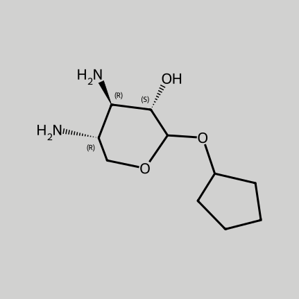 N[C@H]1[C@H](O)C(OC2CCCC2)OC[C@@H]1N